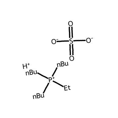 CCCC[P+](CC)(CCCC)CCCC.O=S(=O)([O-])[O-].[H+]